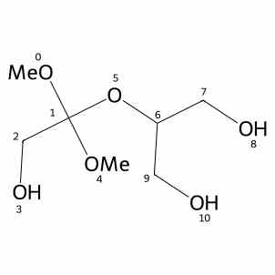 COC(CO)(OC)OC(CO)CO